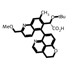 COCc1ccc2c(-c3ccc4c5c(ccnc35)CCO4)c([C@H](OC(C)(C)C)C(=O)O)c(C)cc2n1